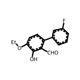 CCOc1ccc(-c2cccc(F)c2)c(C=O)c1O